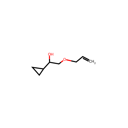 C=CCOCC(O)C1CC1